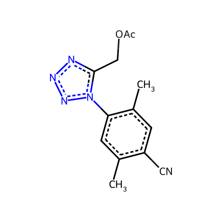 CC(=O)OCc1nnnn1-c1cc(C)c(C#N)cc1C